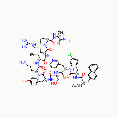 CC(=O)N[C@H](Cc1ccc2ccccc2c1)C(=O)N[C@H](Cc1ccc(Cl)cc1)C(=O)N[C@H](Cc1cccnc1)C(=O)N[C@@H](CO)C(=O)N[C@@H](Cc1ccc(O)cc1)C(=O)N[C@H](CCCN)C(=O)N[C@@H](CC(C)C)C(=O)N[C@@H](CCCNC(=N)N)C(=O)N1CCC[C@H]1C(=O)N[C@H](C)C(N)=O